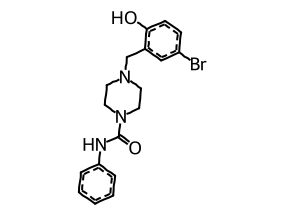 O=C(Nc1ccccc1)N1CCN(Cc2cc(Br)ccc2O)CC1